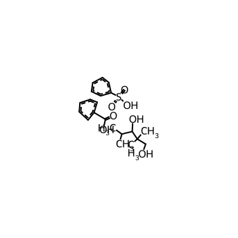 CC(C)C(O)C(C)(C)CO.O=C(O)c1ccccc1.O=S(=O)(O)c1ccccc1